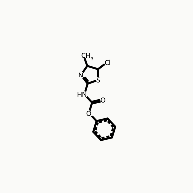 CC1N=C(NC(=O)Oc2ccccc2)SC1Cl